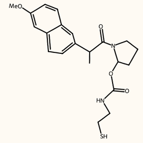 COc1ccc2cc(C(C)C(=O)N3CCCC3OC(=O)NCCS)ccc2c1